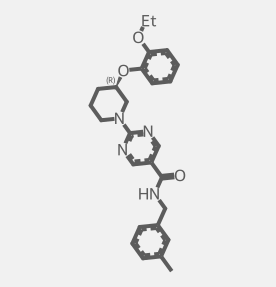 CCOc1ccccc1O[C@@H]1CCCN(c2ncc(C(=O)NCc3cccc(C)c3)cn2)C1